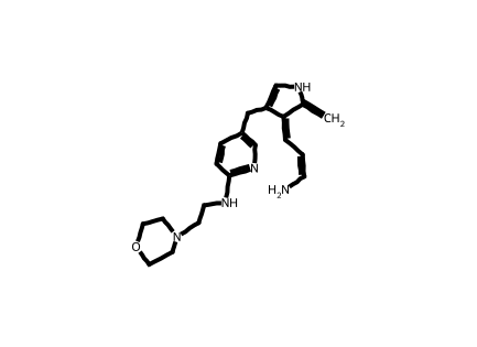 C=c1[nH]cc(Cc2ccc(NCCN3CCOCC3)nc2)/c1=C/C=C\N